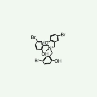 C[N+](Cc1cc(Br)ccc1O)(Cc1cc(Br)ccc1O)Cc1cc(Br)ccc1O